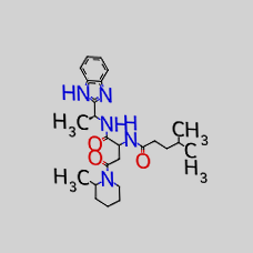 CC(C)CCC(=O)NC(CC(=O)N1CCCCC1C)C(=O)N[C@@H](C)c1nc2ccccc2[nH]1